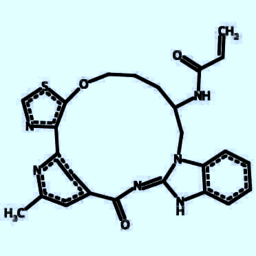 C=CC(=O)NC1CCCOc2scnc2-c2cc(cc(C)n2)C(=O)/N=C2\Nc3ccccc3N2C1